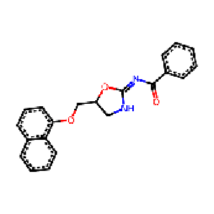 O=C(N=C1NCC(COc2cccc3ccccc23)O1)c1ccccc1